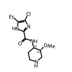 CCc1[nH]c(C(=O)N[C@@H]2CCNC[C@@H]2OC)nc1Cl